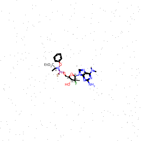 CCOC(=O)[C@@H](C)N(Oc1ccccc1)[PH](=S)OC[C@H]1O[C@@H](n2cnc3c(N(C)C)nc(N)nc32)[C@](C)(F)[C@@H]1O